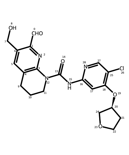 O=Cc1nc2c(cc1CO)CCCN2C(=O)Nc1cc(O[C@H]2CCOC2)c(Cl)cn1